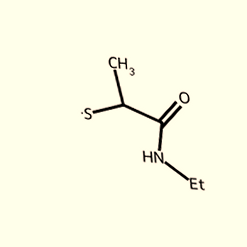 CCNC(=O)C(C)[S]